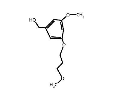 COCCCOc1cc(CO)cc(OC)c1